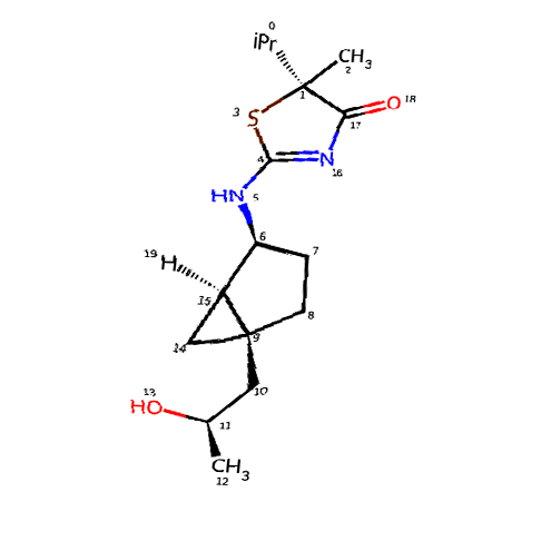 CC(C)[C@@]1(C)SC(N[C@H]2CC[C@]3(C[C@@H](C)O)C[C@@H]23)=NC1=O